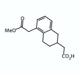 COC(=O)Cc1cccc2c1CCC(CC(=O)O)C2